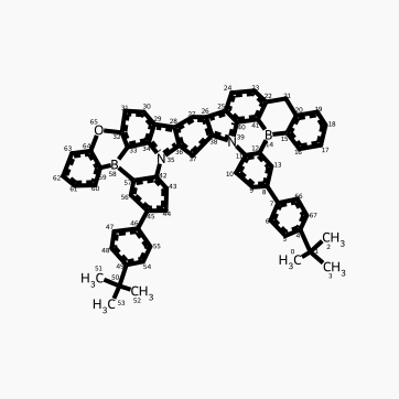 CC(C)(C)c1ccc(-c2ccc3c(c2)B2c4ccccc4Cc4ccc5c6cc7c8ccc9c%10c8n(c7cc6n-3c5c42)-c2ccc(-c3ccc(C(C)(C)C)cc3)cc2B%10c2ccccc2O9)cc1